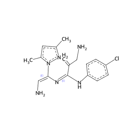 C=C(CN)/C(=N\C(=C/N)n1nc(C)cc1C)Nc1ccc(Cl)cc1